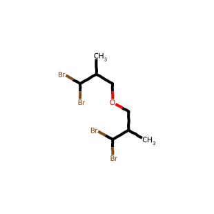 CC(COCC(C)C(Br)Br)C(Br)Br